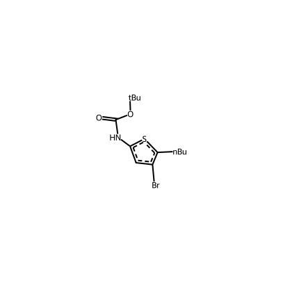 CCCCc1sc(NC(=O)OC(C)(C)C)cc1Br